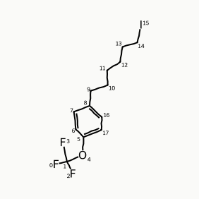 FC(F)(F)Oc1ccc(CCCCCCI)cc1